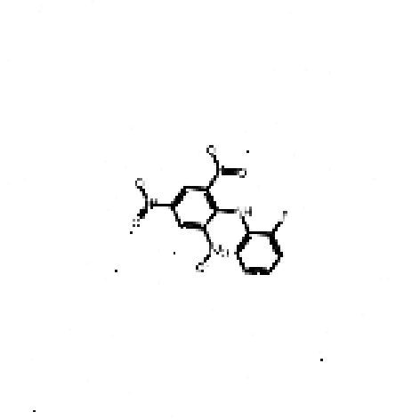 O=[N+]([O-])c1cc([N+](=O)[O-])c(Nc2ccccc2F)c([N+](=O)[O-])c1